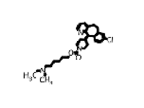 CCN(CC)CCCCCCOC(=O)N1CCC(=C2c3ccc(Cl)cc3CCc3cccnc32)CC1